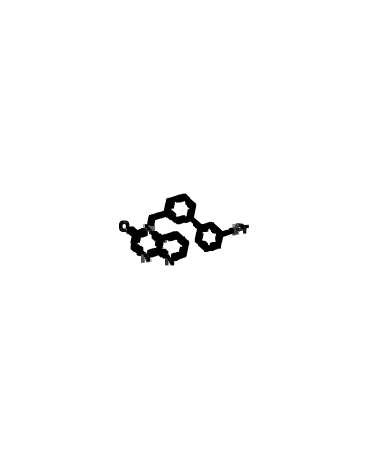 CC(C)c1cccc(-c2cccc(Cn3c(=O)cnc4ncccc43)c2)c1